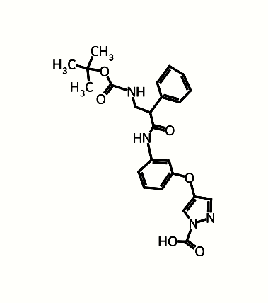 CC(C)(C)OC(=O)NCC(C(=O)Nc1cccc(Oc2cnn(C(=O)O)c2)c1)c1ccccc1